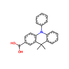 CC1(C)c2ccccc2N(c2ccccc2)c2ccc(B(O)O)cc21